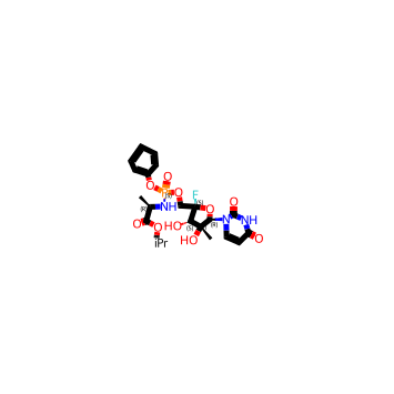 CC(C)OC(=O)[C@@H](C)N[P@](=O)(OC[C@@]1(F)O[C@@H](n2ccc(=O)[nH]c2=O)[C@](C)(O)[C@@H]1O)Oc1ccccc1